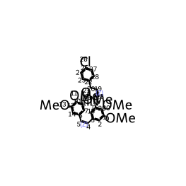 COc1cc(/C=C\c2cc(OC)c(OC)c(OC)c2)cc(N/C=C\C(=O)c2ccc(Cl)cc2)c1OC